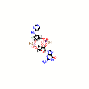 Nc1nc2c(ncn2[C@@H]2O[C@@H]3CO[P@](=O)(S)O[C@@H]4[C@@H](CO[P@@](=O)(S)O[C@@H]2[C@@H]3O)C[C@@H](Nc2ccncn2)[C@@H]4F)c(=O)[nH]1